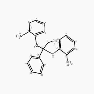 CCC(Oc1ccccc1N)(Oc1ccccc1N)c1ccccc1